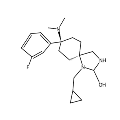 CN(C)[C@]1(c2cccc(F)c2)CC[C@]2(CC1)CNC(O)N2CC1CC1